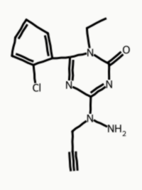 C#CCN(N)c1nc(-c2ccccc2Cl)n(CC)c(=O)n1